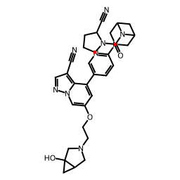 N#Cc1cnn2cc(OCCN3CC4CC4(O)C3)cc(-c3ccc(N4CC5CC(C4)N5C(=O)N4CCCC4C#N)nc3)c12